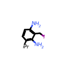 CC(C)c1ccc(N)c(CI)c1N